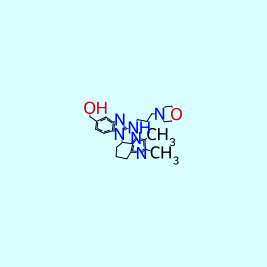 Cc1nc2c(nc1C)C(n1c(NCCCN3CCOCC3)nc3cc(CO)ccc31)CCC2